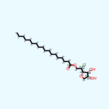 CCCCCCCCCCCCCCCCCC(=O)OC[C@@H](Cl)[C@H]1OC[C@H](O)[C@H]1O